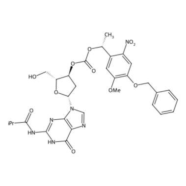 COc1cc([C@@H](C)OC(=O)O[C@H]2C[C@H](n3cnc4c(=O)[nH]c(NC(=O)C(C)C)nc43)O[C@@H]2CO)c([N+](=O)[O-])cc1OCc1ccccc1